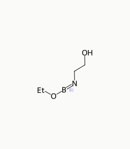 CCO/B=N/CCO